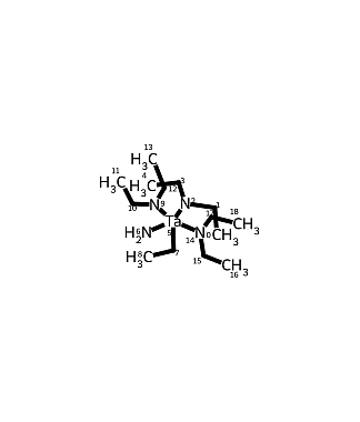 CC[N](CC)[Ta]([NH2])([CH2]C)([N](CC)CC)[N](CC)CC